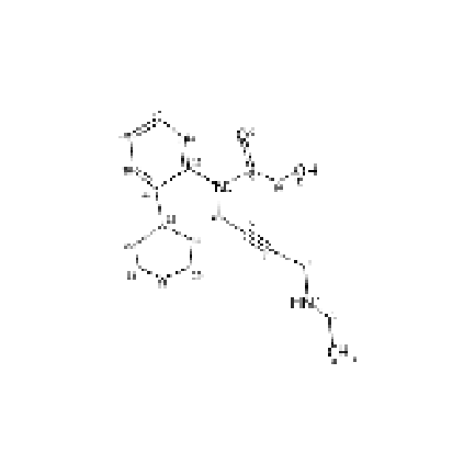 CCNCC#CCN(C(=O)CO)c1ccccc1C1CCCCC1